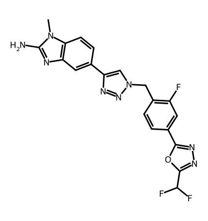 Cn1c(N)nc2cc(-c3cn(Cc4ccc(-c5nnc(C(F)F)o5)cc4F)nn3)ccc21